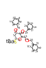 CC(C)(C)S[C@H]1C[C@@H](OCc2ccccc2)C(OCc2ccccc2)C(COCc2ccccc2)O1